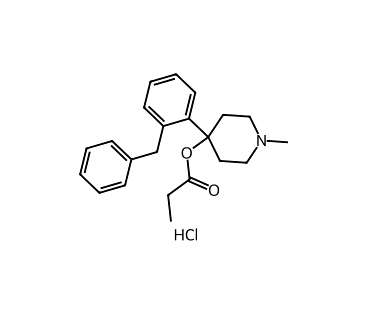 CCC(=O)OC1(c2ccccc2Cc2ccccc2)CCN(C)CC1.Cl